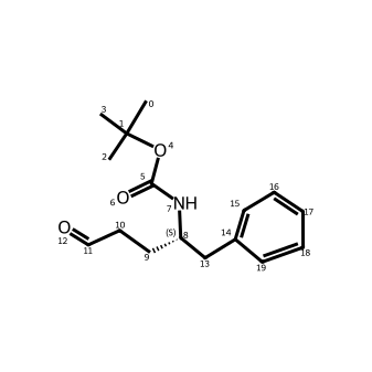 CC(C)(C)OC(=O)N[C@@H](CCC=O)Cc1ccccc1